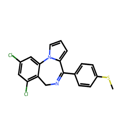 CSc1ccc(C2=NCc3c(Cl)cc(Cl)cc3-n3cccc32)cc1